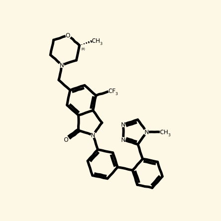 C[C@@H]1CN(Cc2cc3c(c(C(F)(F)F)c2)CN(c2cccc(-c4ccccc4-c4nncn4C)c2)C3=O)CCO1